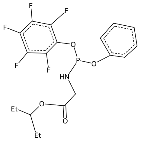 CCC(CC)OC(=O)CNP(Oc1ccccc1)Oc1c(F)c(F)c(F)c(F)c1F